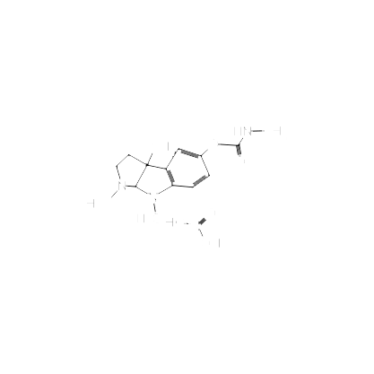 CNC(=O)Oc1ccc2c(c1)C1(C)CCN(C)C1N2C.O=[Si](O)O